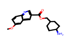 COc1ccc2ncc(C(=O)OCC3CCC(N)CC3)cc2c1